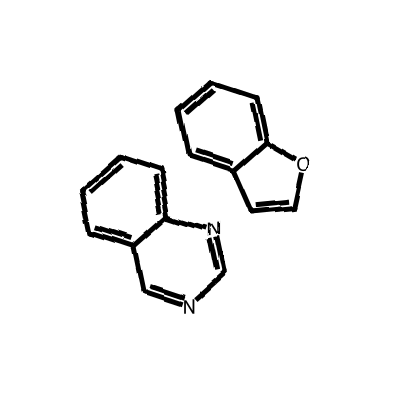 c1ccc2ncncc2c1.c1ccc2occc2c1